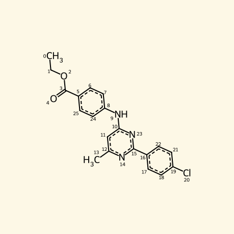 CCOC(=O)c1ccc(Nc2cc(C)nc(-c3ccc(Cl)cc3)n2)cc1